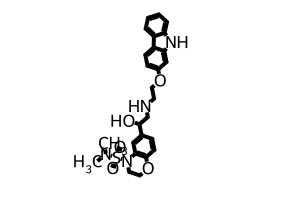 CN(C)S(=O)(=O)N1CCOc2ccc(C(O)CNCCOc3ccc4c(c3)[nH]c3ccccc34)cc21